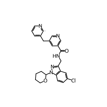 O=C(NCc1nn(C2CCCCO2)c2ccc(Cl)cc12)c1cncc(Cc2[c]nccc2)c1